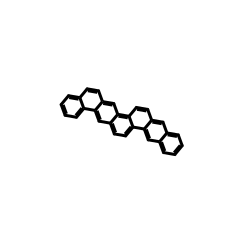 c1ccc2cc3c(ccc4c5cc6ccc7ccccc7c6cc5ccc34)cc2c1